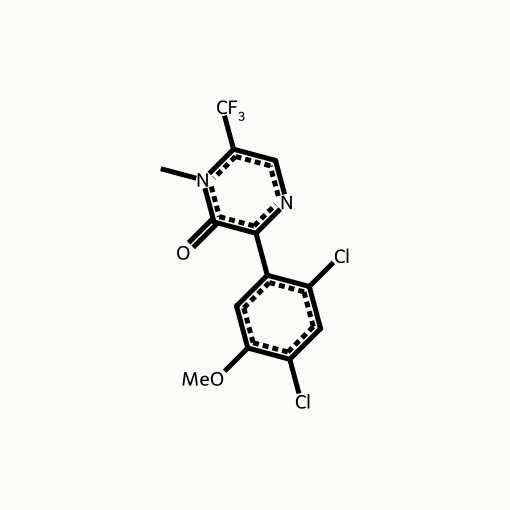 COc1cc(-c2ncc(C(F)(F)F)n(C)c2=O)c(Cl)cc1Cl